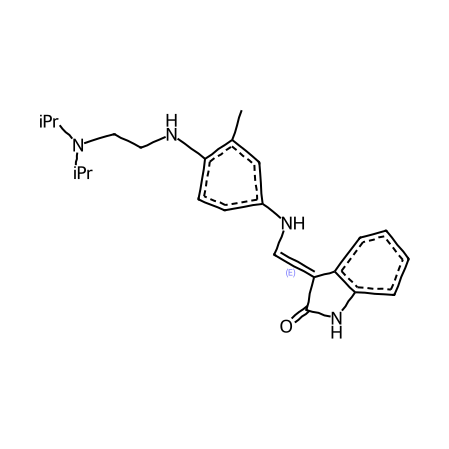 Cc1cc(N/C=C2/C(=O)Nc3ccccc32)ccc1NCCN(C(C)C)C(C)C